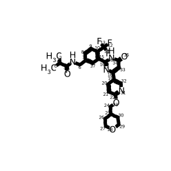 CC(C)C(=O)NCc1ccc(C(F)(F)F)c(-c2nc(-c3ccc(OCC4CCOCC4)nc3)cc(=O)[nH]2)c1